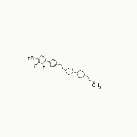 C=CCCC1CCC(C2CCC(CCc3ccc(-c4ccc(CCC)c(F)c4F)cc3)CC2)CC1